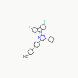 N#Cc1ccc(-c2ccc(-c3cc(-c4ccccc4)nc(-n4c5ccc(F)cc5c5cc(F)ccc54)n3)cc2)cc1